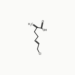 C=C(CCC=CCCl)C(=O)O